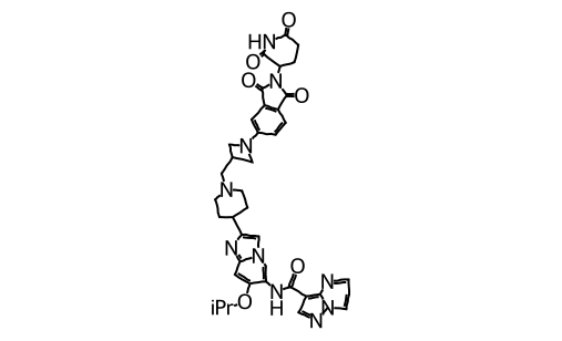 CC(C)Oc1cc2nc(C3CCN(CC4CN(c5ccc6c(c5)C(=O)N(C5CCC(=O)NC5=O)C6=O)C4)CC3)cn2cc1NC(=O)c1cnn2cccnc12